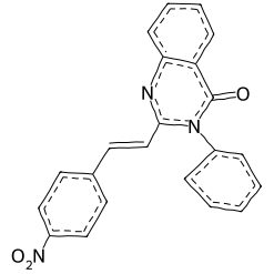 O=c1c2ccccc2nc(C=Cc2ccc([N+](=O)[O-])cc2)n1-c1ccccc1